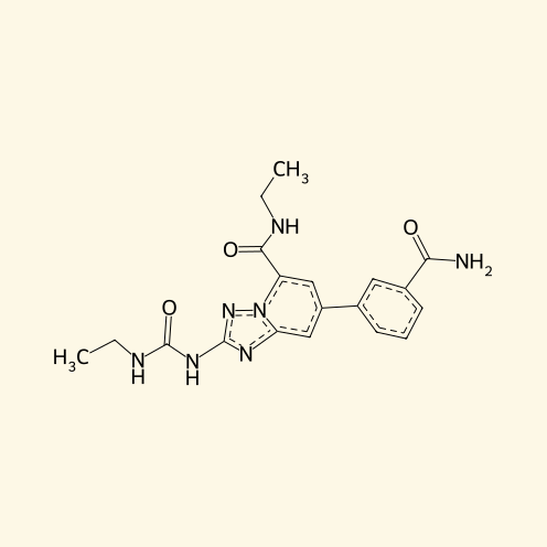 CCNC(=O)Nc1nc2cc(-c3cccc(C(N)=O)c3)cc(C(=O)NCC)n2n1